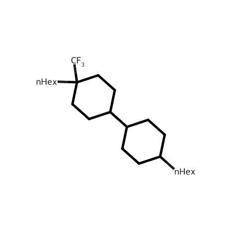 CCCCCCC1CCC(C2CCC(CCCCCC)(C(F)(F)F)CC2)CC1